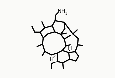 CCC1C(C)C2C(CN)C3CC4(C)C(C)C(C)C5[C@H]6C(CCC6C(C)[C@@H](CC)[C@H]5CC(C)C(C)C1CC24)C(C)CC3C